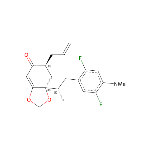 C=CC[C@H]1C[C@]2([C@@H](C)Cc3cc(F)c(NC)cc3F)OCOC2=CC1=O